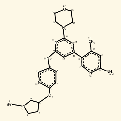 CC(C)N1CCC(Oc2ccc(Nc3cc(-c4cnc(N)cc4C(F)(F)F)nc(N4CCOCC4)n3)cn2)C1